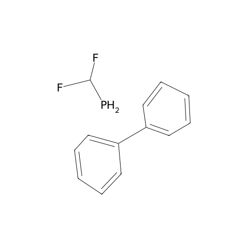 FC(F)P.c1ccc(-c2ccccc2)cc1